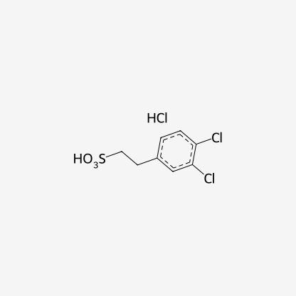 Cl.O=S(=O)(O)CCc1ccc(Cl)c(Cl)c1